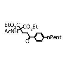 CCCCCc1ccc(C(=O)CCC(NC(C)=O)(C(=O)OCC)C(=O)OCC)cc1